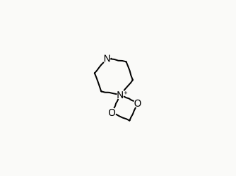 C1C[N+]2(CC[N]1)OCO2